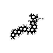 COC(=O)C12CCC(C)(C)CC1C1C(=O)C=C3C4(C)C=C(C(=O)C5=CC6(C)C7=CC(=O)C8C9CC(C)(C)CCC9(C)CCC8C7(C)CCC6C(C)(C)C5=O)C(=O)C(C)(C)C4CCC3(C)C1(C)CC2